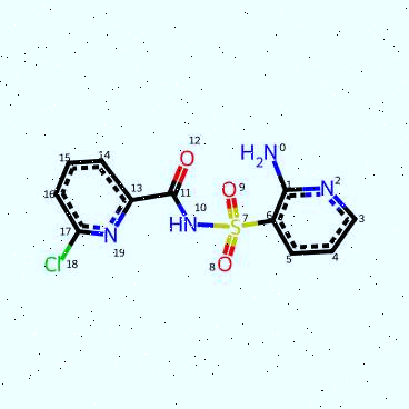 Nc1ncccc1S(=O)(=O)NC(=O)c1cccc(Cl)n1